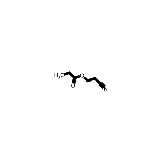 C[CH]C(=O)OCCC#N